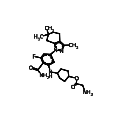 Cc1nn(-c2cc(F)c(C(N)=O)c(NC3CCC(OC(=O)CN)CC3)c2)c2c1CCC(C)(C)C2